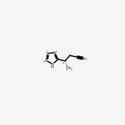 C[C@@H](CC#N)c1nnn[nH]1